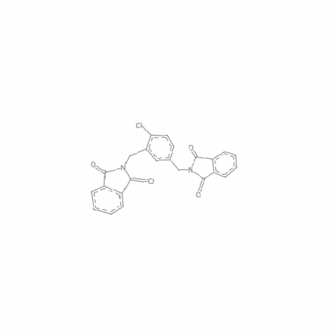 O=C1c2ccccc2C(=O)N1Cc1ccc(Cl)c(CN2C(=O)c3ccccc3C2=O)c1